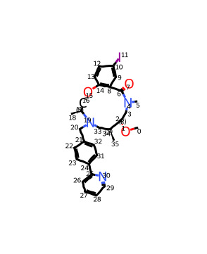 CO[C@H]1CN(C)C(=O)c2cc(I)ccc2OC[C@H](C)N(Cc2ccc(-c3ccccn3)cc2)C[C@@H]1C